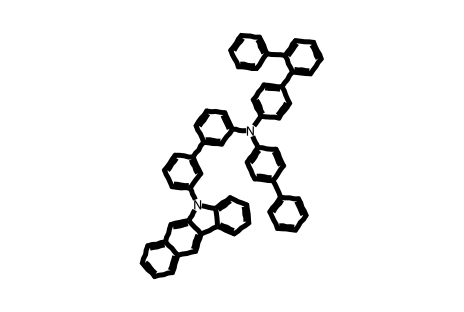 c1ccc(-c2ccc(N(c3ccc(-c4ccccc4-c4ccccc4)cc3)c3cccc(-c4cccc(-n5c6ccccc6c6cc7ccccc7cc65)c4)c3)cc2)cc1